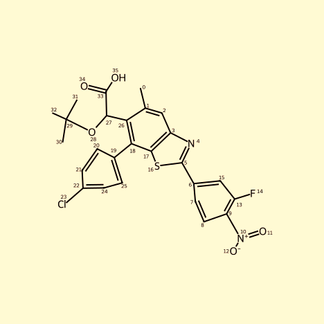 Cc1cc2nc(-c3ccc([N+](=O)[O-])c(F)c3)sc2c(-c2ccc(Cl)cc2)c1C(OC(C)(C)C)C(=O)O